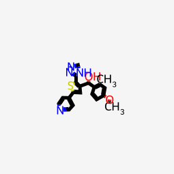 COc1ccc(C(O)c2cc(-c3ccncc3)sc2-c2nnc[nH]2)c(C)c1